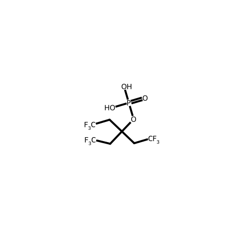 O=P(O)(O)OC(CC(F)(F)F)(CC(F)(F)F)CC(F)(F)F